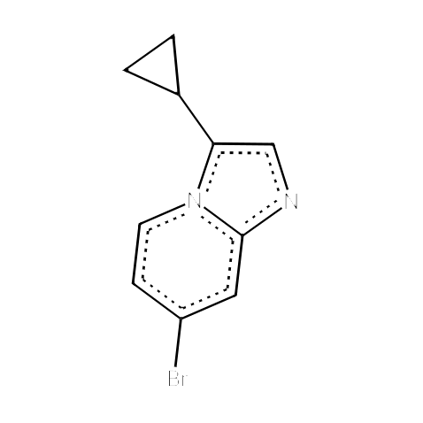 Brc1ccn2c(C3CC3)cnc2c1